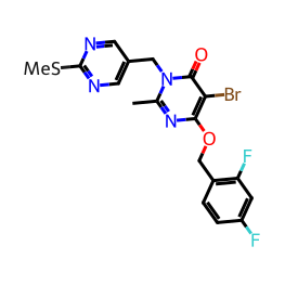 CSc1ncc(Cn2c(C)nc(OCc3ccc(F)cc3F)c(Br)c2=O)cn1